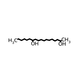 CCCCCCC(O)CCCCCCCCCC(C)O